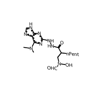 CCCCCC(CN(O)C=O)C(=O)NNc1nc(N(C)C)c2nc[nH]c2n1